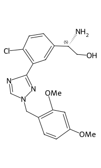 COc1ccc(Cn2cnc(-c3cc([C@H](N)CO)ccc3Cl)n2)c(OC)c1